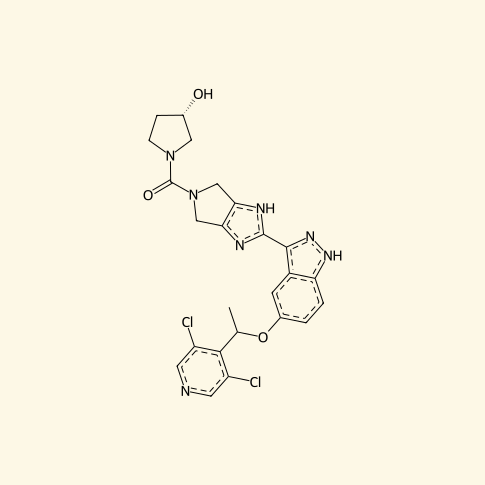 CC(Oc1ccc2[nH]nc(-c3nc4c([nH]3)CN(C(=O)N3CC[C@H](O)C3)C4)c2c1)c1c(Cl)cncc1Cl